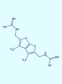 Cc1c(CNC(=N)S)sc2sc(CNC(=N)S)c(C)c12